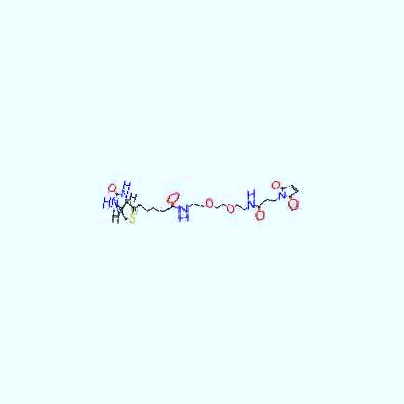 O=C(CCCC[C@H]1SC[C@H]2NC(=O)N[C@H]21)NCCOCCOCCNC(=O)CCN1C(=O)C=CC1=O